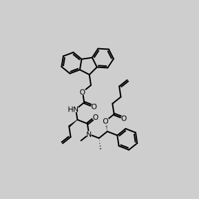 C=CCCC(=O)O[C@H](c1ccccc1)[C@H](C)N(C)C(=O)[C@@H](CC=C)NC(=O)OCC1c2ccccc2-c2ccccc21